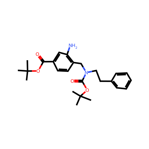 CC(C)(C)OC(=O)c1ccc(CN(CCc2ccccc2)C(=O)OC(C)(C)C)c(N)c1